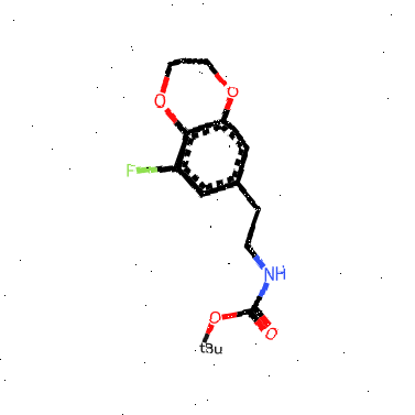 CC(C)(C)OC(=O)NCCc1cc(F)c2c(c1)OCCO2